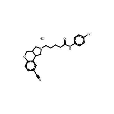 Cl.N#Cc1ccc2c(c1)C1CN(CCCCC(=O)Nc3ccc(Br)cc3)CC1CO2